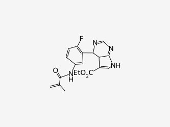 C=C(C)C(=O)Nc1ccc(F)c(C2N=CN=C3NC=C(C(=O)OCC)C32)c1